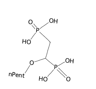 CCCCCOC(CP(=O)(O)O)P(=O)(O)O